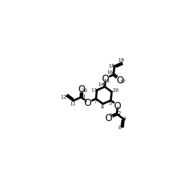 C=CC(=O)OC1CC(OC(=O)C=C)CC(OC(=O)C=C)C1